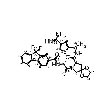 C[C@@H](NC(=O)C1CC2(CN1C(=O)CNC(=O)c1ccc3c(c1)C(F)(F)c1ccccc1-3)OCCO2)c1cc(C(=N)N)cs1